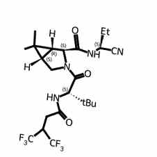 CC[C@@H](C#N)NC(=O)[C@@H]1[C@@H]2[C@H](CN1C(=O)[C@@H](NC(=O)CC(C(F)(F)F)C(F)(F)F)C(C)(C)C)C2(C)C